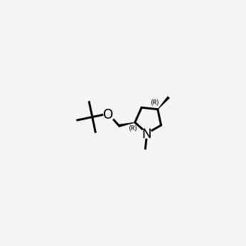 C[C@@H]1C[C@H](COC(C)(C)C)N(C)C1